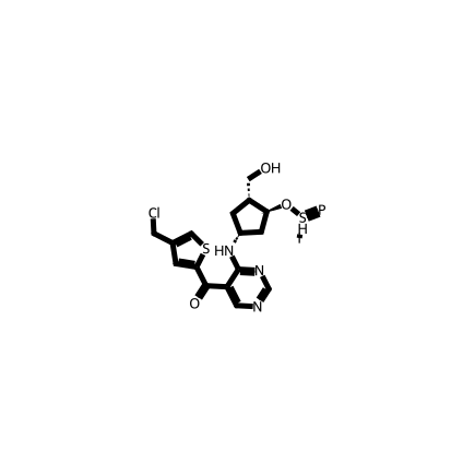 O=C(c1cc(CCl)cs1)c1cncnc1N[C@@H]1C[C@H](CO)[C@@H](O[SH](#P)I)C1